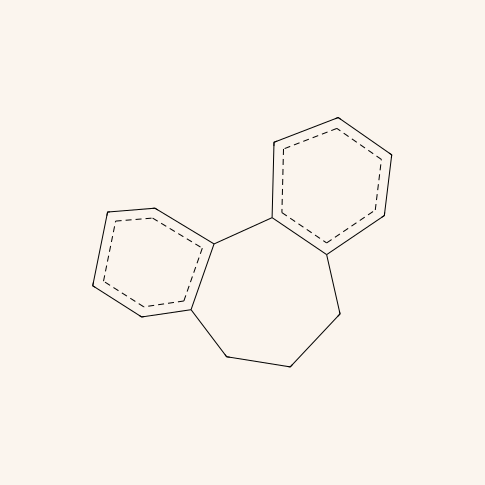 c1ccc2c(c1)CCCc1ccccc1-2